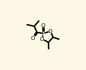 CC(C)C(=O)P1(=O)OC(C)C(C)O1